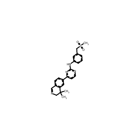 CC1(C)CN=Cc2ccc(-c3ccnc(Nc4cccc(CS(C)(=O)=O)c4)n3)cc21